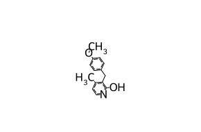 COc1ccc(Cc2c(C)ccnc2O)cc1